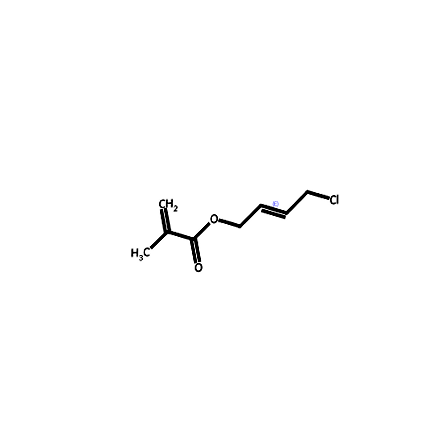 C=C(C)C(=O)OC/C=C/CCl